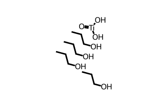 CCCO.CCCO.CCCO.CCCO.[O]=[Ti]([OH])[OH]